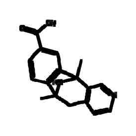 CC12Cc3ccncc3C(C)(N1)c1cc(C(=O)O)ccc12